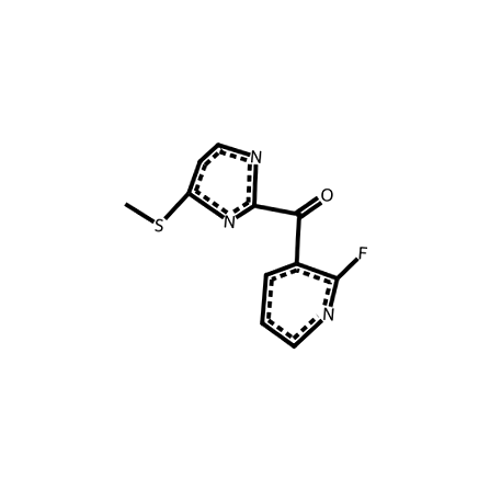 CSc1ccnc(C(=O)c2cccnc2F)n1